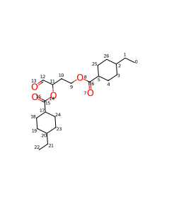 CCC1CCC(C(=O)OCCC(C=O)OC(=O)C2CCC(CC)CC2)CC1